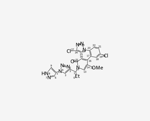 CCC(c1cn(-c2cn[nH]c2)nn1)n1cc(OC)c(-c2cc(Cl)ccc2-n2cc(Cl)nn2)cc1=O